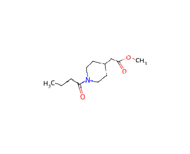 CCCC(=O)N1CCC(CC(=O)OC)CC1